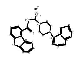 CC(NC(=O)c1cccc2sc3ccccc3c12)N1CCN(c2cccc3ccccc23)CC1.Cl